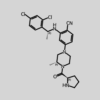 C[C@@H]1CN(c2ccc(C#N)c(N[C@H](C)c3ccc(Cl)cc3Cl)c2)CCN1C(=O)[C@H]1CCCN1